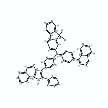 Cn1c(-c2ccccc2)c(-c2ccc(N(c3ccc(-c4cccc5ccccc45)cc3)c3ccc4c(c3)C(C)(C)c3ccccc3-4)cc2)c2ccc3ccccc3c21